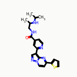 CC(C)NC(C)CNC(=O)c1ccnc(-c2cnn3ccc(-c4cccs4)nc23)c1